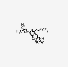 CC1(C)CN(c2cc(=O)n(CC(=O)NC3(C#N)CC3)c(CCCC(F)(F)F)n2)C1